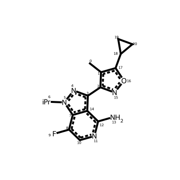 Cc1c(-c2nn(C(C)C)c3c(F)cnc(N)c23)noc1C1CC1